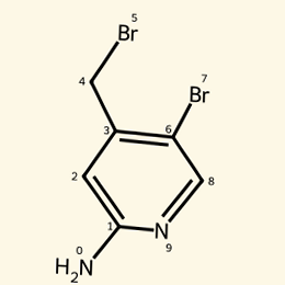 Nc1cc(CBr)c(Br)cn1